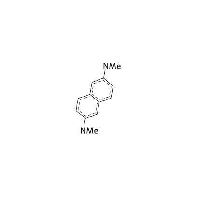 CNc1ccc2cc(NC)ccc2c1